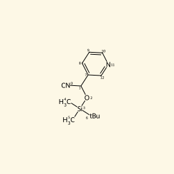 [C-]#[N+]C(O[Si](C)(C)C(C)(C)C)c1cccnc1